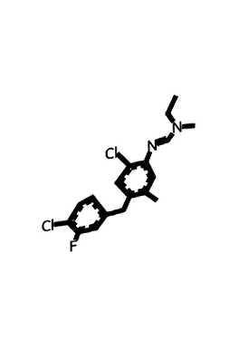 CCN(C)C=Nc1cc(C)c(Cc2ccc(Cl)c(F)c2)cc1Cl